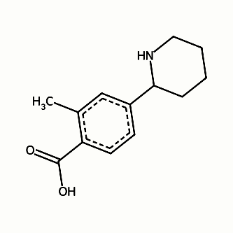 Cc1cc(C2CCCCN2)ccc1C(=O)O